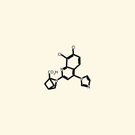 O=C(O)C12CC(CN1c1cc(-n3ccnc3)c3ccc(Cl)c(Cl)c3n1)C2